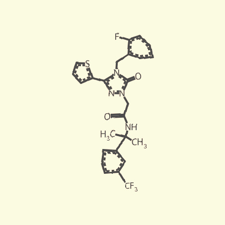 CC(C)(NC(=O)Cn1nc(-c2cccs2)n(Cc2ccccc2F)c1=O)c1cccc(C(F)(F)F)c1